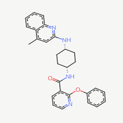 Cc1cc(N[C@H]2CC[C@@H](NC(=O)c3cccnc3Oc3ccccc3)CC2)nc2ccccc12